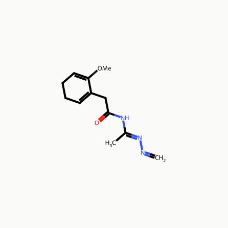 C=N/N=C(\C)NC(=O)CC1=CCCC=C1OC